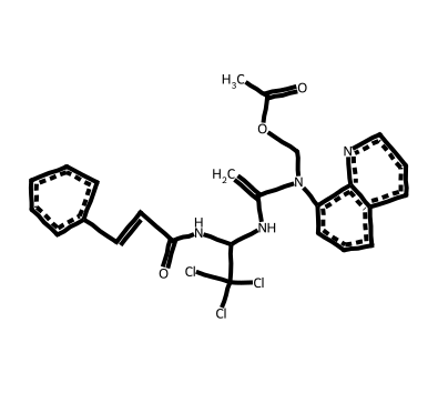 C=C(NC(NC(=O)/C=C/c1ccccc1)C(Cl)(Cl)Cl)N(COC(C)=O)c1cccc2cccnc12